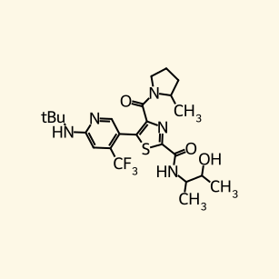 CC(O)C(C)NC(=O)c1nc(C(=O)N2CCCC2C)c(-c2cnc(NC(C)(C)C)cc2C(F)(F)F)s1